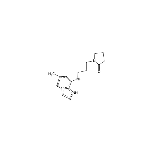 Cc1cc(NCCCN2CCCC2=O)c2[nH]ncc2n1